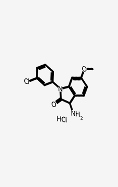 COc1ccc2c(c1)N(c1cccc(Cl)c1)C(=O)C2N.Cl